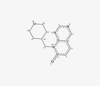 O=c1ccc2cncnc2n1CC1CCOCC1